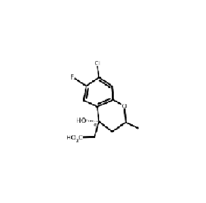 CC1C[C@@](O)(CC(=O)O)c2cc(F)c(Cl)cc2O1